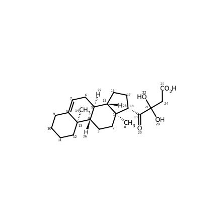 C[C@]12CC[C@H]3[C@@H](CC=C4CCCC[C@@]43C)[C@@H]1CC[C@@H]2C(=O)C(O)(O)CC(=O)O